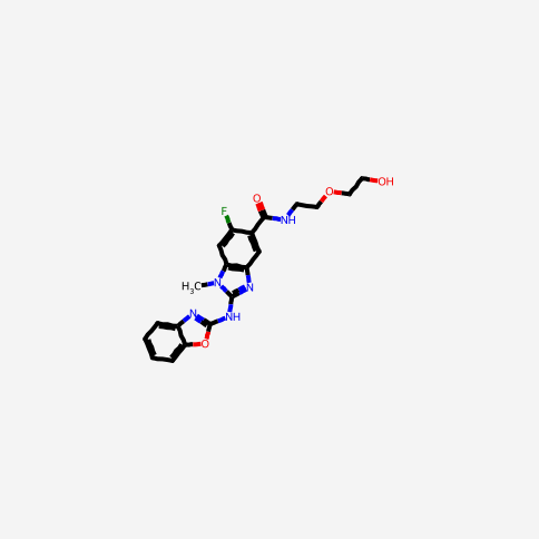 Cn1c(Nc2nc3ccccc3o2)nc2cc(C(=O)NCCOCCO)c(F)cc21